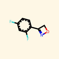 Fc1ccc(C2=NOC2)c(F)c1